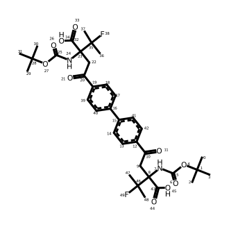 CC(C)(C)OC(=O)NC(CC(=O)c1ccc(-c2ccc(C(=O)CC(NC(=O)OC(C)(C)C)(C(=O)O)C(C)(C)F)cc2)cc1)(C(=O)O)C(C)(C)F